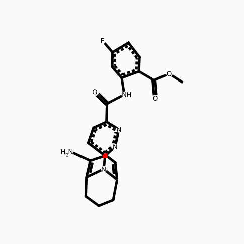 COC(=O)c1ccc(F)cc1NC(=O)c1ccc(N2C3=CCC(N)=C2CCC3)nn1